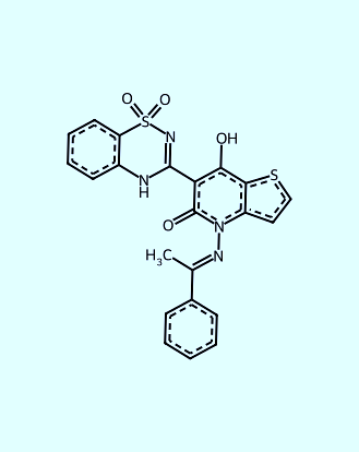 CC(=Nn1c(=O)c(C2=NS(=O)(=O)c3ccccc3N2)c(O)c2sccc21)c1ccccc1